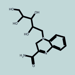 NC(=O)C1=Nc2ccccc2N(CC(O)C(O)C(O)CO)C1